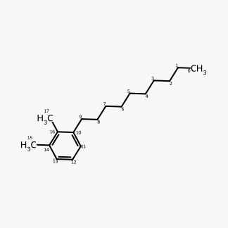 CCCCCCCCCCc1cc[c]c(C)c1C